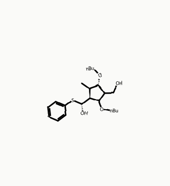 CCCCOC1C(CO)[C@@H](OCCCC)C(C)[C@@H]1[C@H](O)Sc1ccccc1